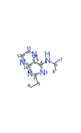 CCc1nc(NC(C)C)c2nccnc2n1